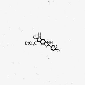 CCOC(=O)C1C(=O)Nc2cc3[nH]c(-c4ccc(=O)oc4)nc3cc21